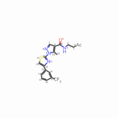 CC(=O)CCNC(=O)c1cnn(-c2nc(-c3cccc(C(F)(F)F)c3)cs2)c1C